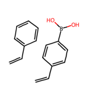 C=Cc1ccc(B(O)O)cc1.C=Cc1ccccc1